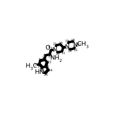 Cc1cc(CC(N)C(=O)N2CCC(N3CCN(C)CC3)CC2)cc2cc[nH]c12